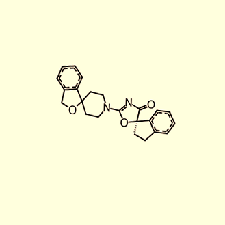 O=C1N=C(N2CCC3(CC2)OCc2ccccc23)O[C@@]12CCc1ccccc12